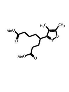 COC(=O)CCCC(CCC(=O)OC)c1noc(C)c1C